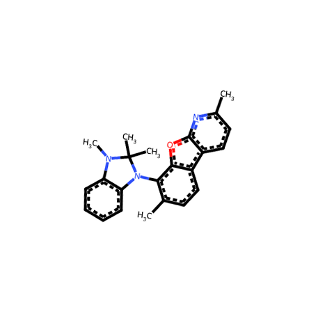 Cc1ccc2c(n1)oc1c(N3c4ccccc4N(C)C3(C)C)c(C)ccc12